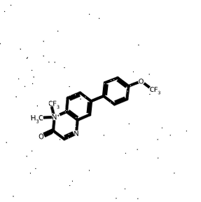 C[N+]1(C(F)(F)F)C(=O)C=Nc2cc(-c3ccc(OC(F)(F)F)cc3)ccc21